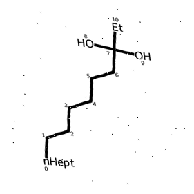 CCCCCCCCCCCCCC(O)(O)CC